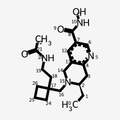 CC[C@@H]1Cc2ncc(C(=O)NO)cc2CN1CC1(CCNC(C)=O)CCC1